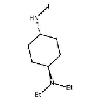 CCN(CC)[C@H]1CC[C@H](NI)CC1